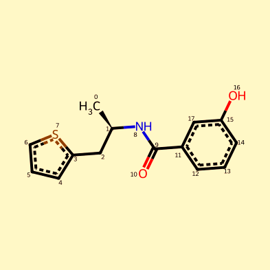 C[C@H](Cc1cccs1)NC(=O)c1cccc(O)c1